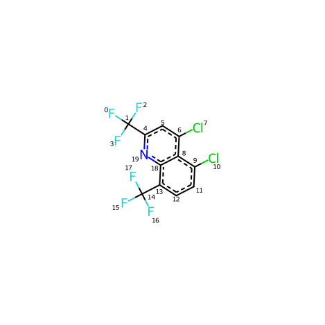 FC(F)(F)c1cc(Cl)c2c(Cl)ccc(C(F)(F)F)c2n1